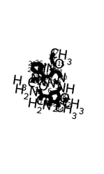 C=C(C(N)=O)c1cc(Nc2ncc(NC(=O)CC)c(-c3nn(C)c4ccccc34)n2)c(OC)c(C)c1N